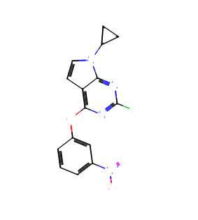 O=[N+]([O-])c1cccc(Oc2nc(Cl)nc3c2ccn3C2CC2)c1